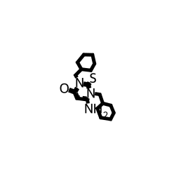 Nc1cc(=O)n(CC2CCCCC2)c(=S)n1CC1CCCCC1